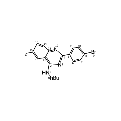 CCCCNc1nc(-c2ccc(Br)cc2)nc2ccc(C)cc12